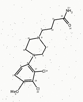 COc1ccc(N2CCN(CCCC(N)=O)CC2)c(Cl)c1Cl